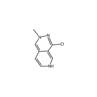 CN1C=C2C=CNC=C2C(Cl)=N1